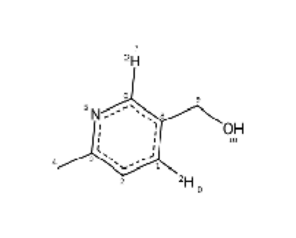 [2H]c1cc(C)nc([2H])c1CO